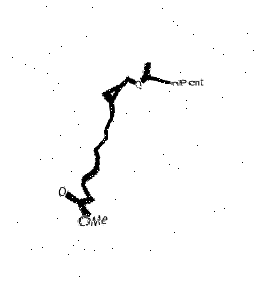 CCCCCC(C)OCC1CC1CCCCCCCC(=O)OC